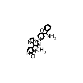 Cc1nc(N2CCC3(CC2)Oc2ccccc2[C@H]3N)n2ccnc2c1-c1ccnc(Cl)c1F